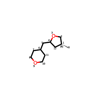 C[C@H]1COC(CC2CCOCC2)C1